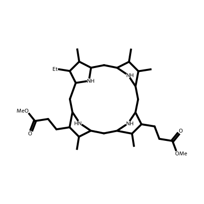 CCC1C2CC3NC(CC4NC(CC5NC(CC(N2)C1C)C(C)C5C)C(CCC(=O)OC)C4C)C(C)C3CCC(=O)OC